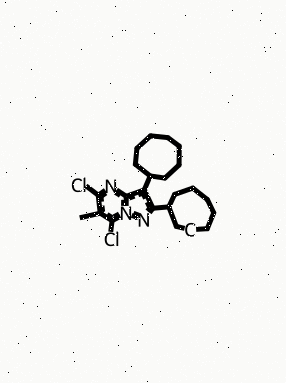 Cc1c(Cl)nc2c(C3CCCCCCC3)c(C3CCCCCCC3)nn2c1Cl